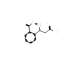 O=C(O)CC1N=NC(=O)c2ccccc21